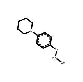 OBOc1ccc(N2CCCCC2)cc1